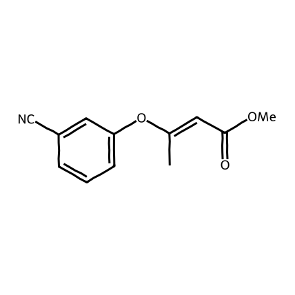 COC(=O)/C=C(\C)Oc1cccc(C#N)c1